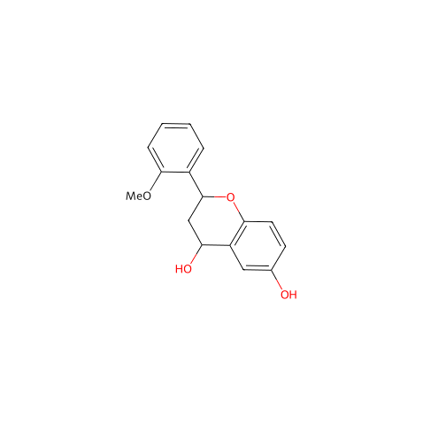 COc1ccccc1C1CC(O)c2cc(O)ccc2O1